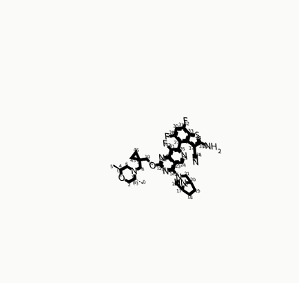 C[C@@H]1CO[C@@H](C)CN1CC1(COc2nc(N3CC4CCC(C3)N4)c3cnc(-c4c(F)cc(F)c5sc(N)c(C#N)c45)c(F)c3n2)CC1